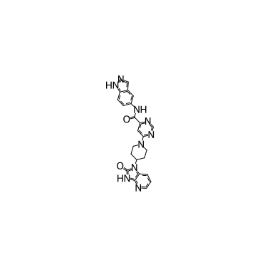 O=C(Nc1ccc2[nH]ncc2c1)c1cc(N2CCC(n3c(=O)[nH]c4ncccc43)CC2)ncn1